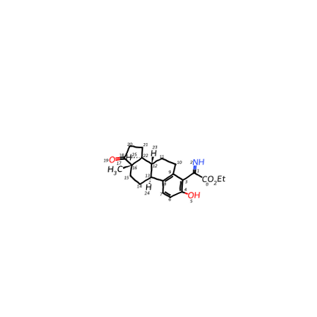 CCOC(=O)C(=N)c1c(O)ccc2c1CC[C@@H]1[C@@H]2CC[C@]2(C)C(=O)CC[C@@H]12